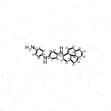 Nc1ccc(Nc2ccc(Nc3ccc4ccc5cccc6ccc3c4c56)cc2)cc1